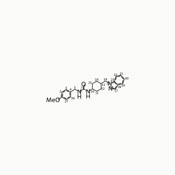 COc1ccc(CNC(=O)NC2CCC(Cn3ncc4ccccc43)CC2)cc1